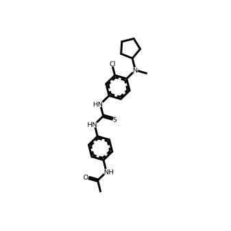 CC(=O)Nc1ccc(NC(=S)Nc2ccc(N(C)C3CCCC3)c(Cl)c2)cc1